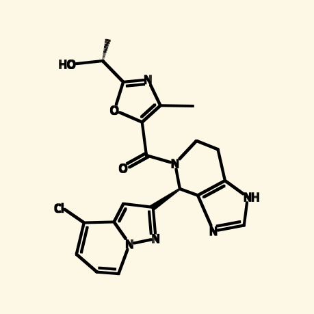 Cc1nc([C@@H](C)O)oc1C(=O)N1CCc2[nH]cnc2[C@H]1c1cc2c(Cl)cccn2n1